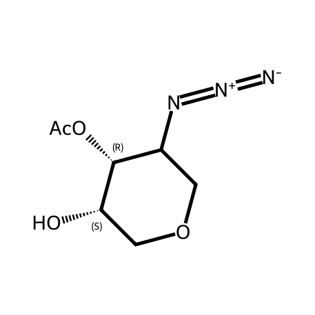 CC(=O)O[C@@H]1C(N=[N+]=[N-])COC[C@@H]1O